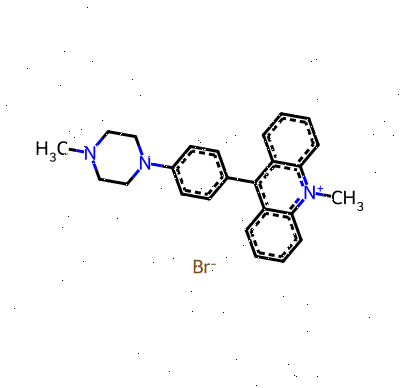 CN1CCN(c2ccc(-c3c4ccccc4[n+](C)c4ccccc34)cc2)CC1.[Br-]